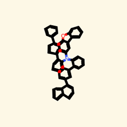 c1ccc(-c2ccc(-c3ccccc3N(c3ccc4oc5ccccc5c4c3)c3ccccc3-c3cccc(-c4cccc5ccccc45)c3)cc2)cc1